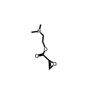 CN(C)CCOC(=O)C1=CO1